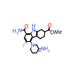 COC(=O)C1CCc2c([nH]c3c(C(N)=O)cc(F)c(N4CCC[C@H](N)C4)c23)C1